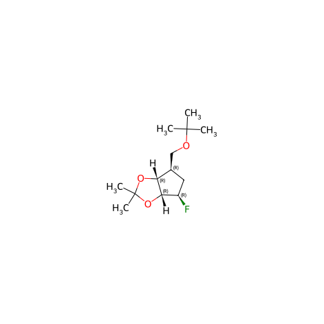 CC(C)(C)OC[C@H]1C[C@@H](F)[C@@H]2OC(C)(C)O[C@H]12